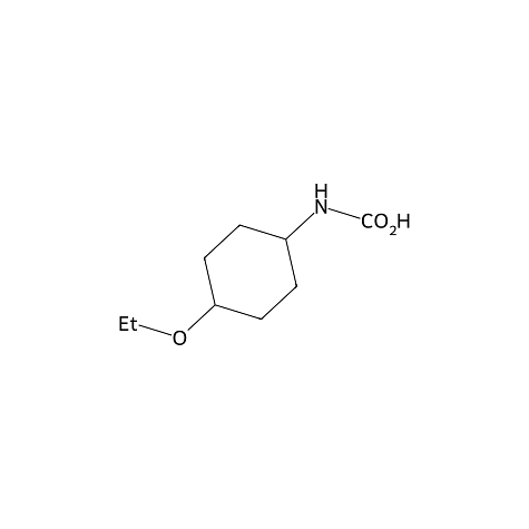 CCOC1CCC(NC(=O)O)CC1